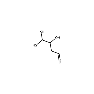 O=[C]CC(O)C(S)S